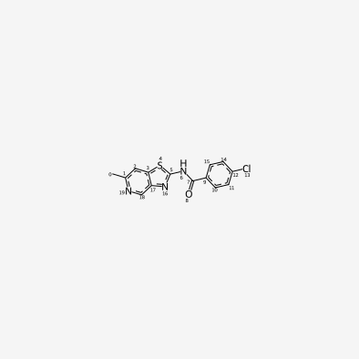 Cc1cc2sc(NC(=O)c3ccc(Cl)cc3)nc2cn1